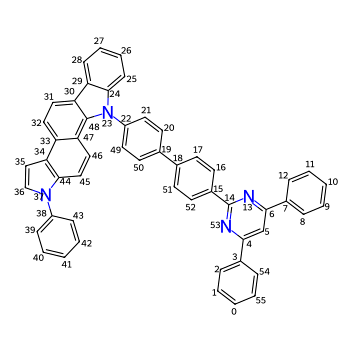 c1ccc(-c2cc(-c3ccccc3)nc(-c3ccc(-c4ccc(-n5c6ccccc6c6ccc7c8ccn(-c9ccccc9)c8ccc7c65)cc4)cc3)n2)cc1